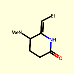 CCC=C1NC(=O)CCC1NC